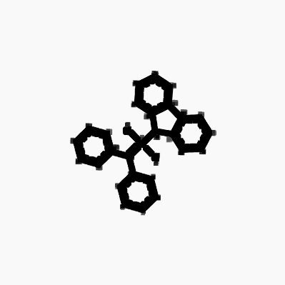 [Cl][Zr]([Cl])(=[C](c1ccccc1)c1ccccc1)[CH]1c2ccccc2-c2ccccc21